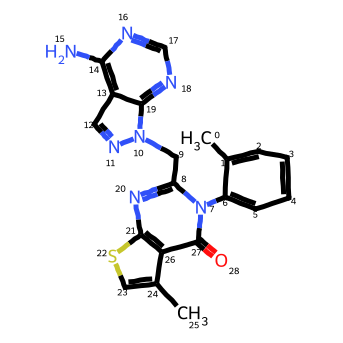 Cc1ccccc1-n1c(Cn2ncc3c(N)ncnc32)nc2scc(C)c2c1=O